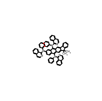 CC1(C)c2ccccc2-c2cc3c(N(c4ccccc4)c4nccc5ccccc45)c4cc(N(c5ccccc5)c5nccc6ccccc56)ccc4c(N(c4ccccc4)c4nccc5ccccc45)c3cc21